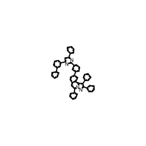 c1ccc(-c2cccc(-c3cc(-c4ccccc4)nc(-c4cccc(-c5ccc6cc(-c7ccccc7)n7nc(-c8ccccc8)c(-c8ccccc8)c7c6c5)c4)n3)c2)cc1